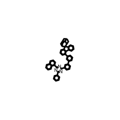 c1ccc(-c2nc(-c3cccc(-c4cccc(-c5cccc6c5-c5ccccc5C65C6CC7CC(C6)CC5C7)c4)c3)nc(-c3cccc4ccccc34)n2)cc1